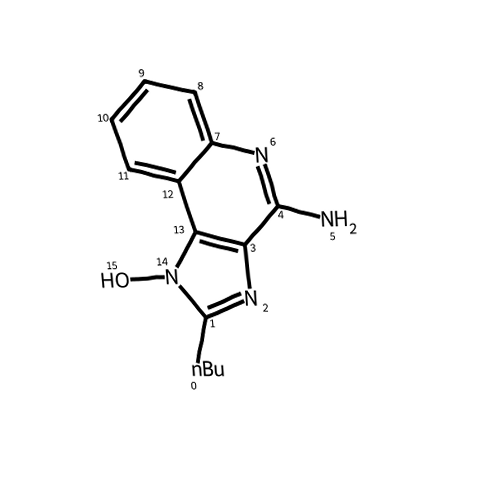 CCCCc1nc2c(N)nc3ccccc3c2n1O